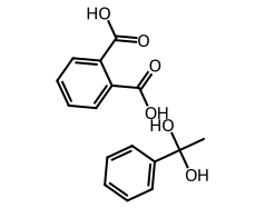 CC(O)(O)c1ccccc1.O=C(O)c1ccccc1C(=O)O